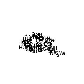 CSCC[C@H](NC(=O)[C@@H]1CCCN1C(=O)[C@H](CCSC)NC(=O)[C@@H]1CCCN1C(=O)[C@H](CCC(=O)O)NC(=O)[C@@H]1CCCN1C(=O)[C@@H](NC(=O)[C@H](CO)NC(=O)[C@H](CC(C)C)NC(=O)[C@@H](N)Cc1ccc(O)cc1)[C@@H](C)O)C(N)=O